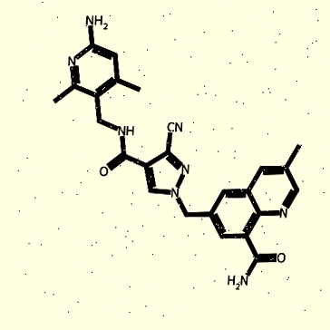 Cc1cnc2c(C(N)=O)cc(Cn3cc(C(=O)NCc4c(C)cc(N)nc4C)c(C#N)n3)cc2c1